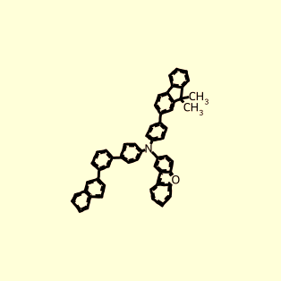 CC1(C)c2ccccc2-c2ccc(-c3ccc(N(c4ccc(-c5cccc(-c6ccc7ccccc7c6)c5)cc4)c4ccc5oc6ccccc6c5c4)cc3)cc21